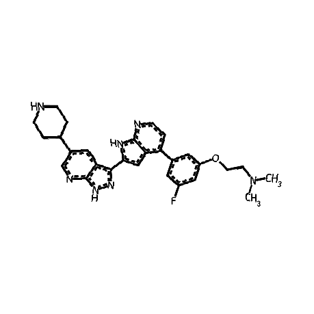 CN(C)CCOc1cc(F)cc(-c2ccnc3[nH]c(-c4n[nH]c5ncc(C6CCNCC6)cc45)cc23)c1